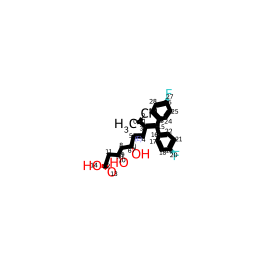 CC(C)C(/C=C/[C@H](O)C[C@H](O)CC(=O)O)=C(c1ccc(F)cc1)c1ccc(F)cc1